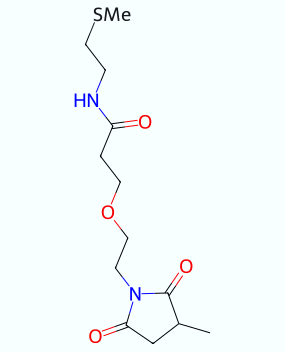 CSCCNC(=O)CCOCCN1C(=O)CC(C)C1=O